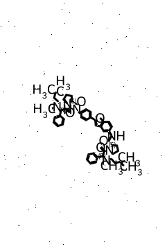 CC(C)CCN(C)[C@@H](C(=O)N1CCC[C@H]1C(=O)Nc1ccc(-c2cc3cc(NC(=O)[C@@H]4CCCN4C(=O)[C@@H](c4ccccc4)N(C)CCC(C)C)ccc3o2)cc1)c1ccccc1